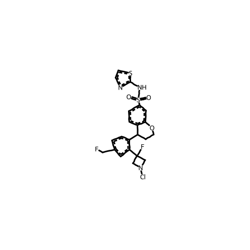 O=S(=O)(Nc1nccs1)c1ccc2c(c1)OCCC2c1ccc(CF)cc1C1(F)CN(Cl)C1